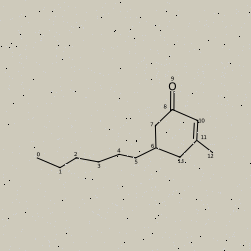 CCCCCCC1CC(=O)C=C(C)C1